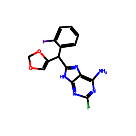 Nc1nc(F)nc2[nH]c(C(C3=COCO3)c3ccccc3I)nc12